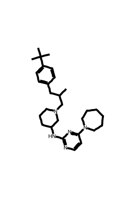 CC(Cc1ccc(C(C)(C)C)cc1)CN1CCCC(Nc2nccc(N3CCCCCC3)n2)C1